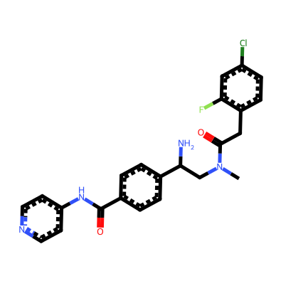 CN(CC(N)c1ccc(C(=O)Nc2ccncc2)cc1)C(=O)Cc1ccc(Cl)cc1F